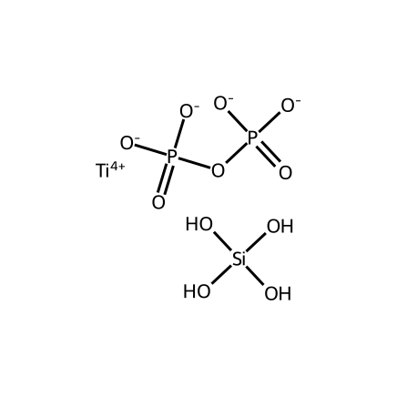 O=P([O-])([O-])OP(=O)([O-])[O-].O[Si](O)(O)O.[Ti+4]